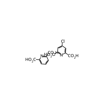 O=C(O)c1cc(Cl)cc(C(=O)O)n1.O=C(O)c1cccc(C(=O)O)n1